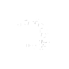 O=C(O)c1nn(-c2cc(Cl)c(Oc3ccc4c(c3)CCN(Cc3ccc(Cl)cc3)C4=O)c(Cl)c2)c(=O)[nH]c1=O